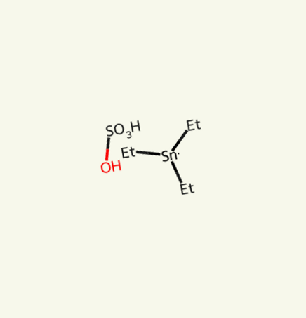 C[CH2][Sn]([CH2]C)[CH2]C.O=S(=O)(O)O